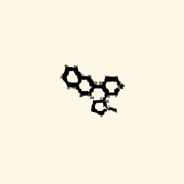 CN1CCC[C@H]1c1cnccc1-c1cc2ccccc2cn1